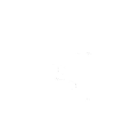 CCCC=Cc1c(C)c(C)c(OC)c(C(CCCCCC(=O)OC)c2ccc(F)cc2)c1C